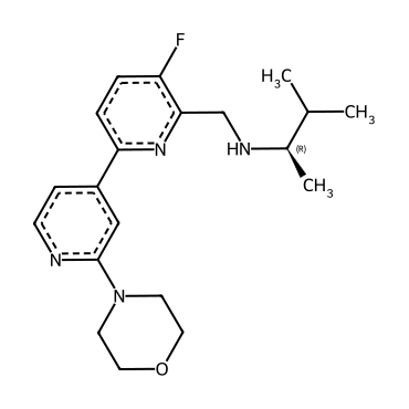 CC(C)[C@@H](C)NCc1nc(-c2ccnc(N3CCOCC3)c2)ccc1F